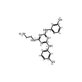 NCCNc1nc(Nc2cccc(S)c2)nc(Nc2cccc(S)c2)n1